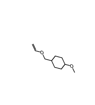 C=COCC1CCC(OC)CC1